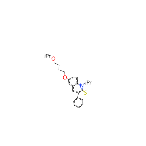 CC(C)OCCCCOc1ccc2c(c1)cc(-c1ccccc1)c(=S)n2C(C)C